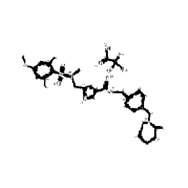 COc1cc(C)c(S(=O)(=O)N(C)Cc2cc(C(=O)NCc3ccc(CN4CCCCC4C)cc3)co2)c(C)c1.O=C(O)C(F)(F)F